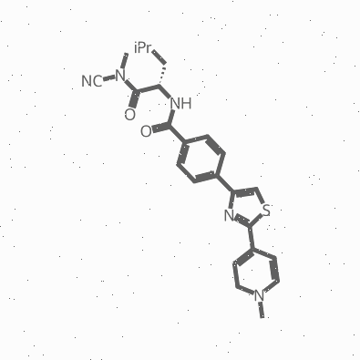 CC(C)C[C@H](NC(=O)c1ccc(-c2csc(C3=CCN(C)C=C3)n2)cc1)C(=O)N(C)C#N